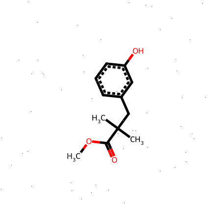 COC(=O)C(C)(C)Cc1cccc(O)c1